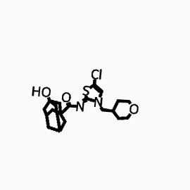 O=C(N=c1sc(Cl)cn1CC1CCOCC1)C12CC3CC(CC(O)(C3)C1)C2